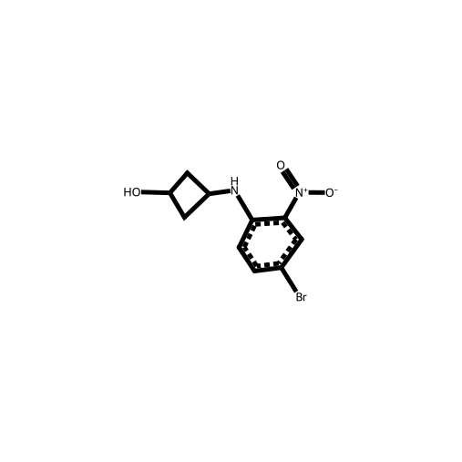 O=[N+]([O-])c1cc(Br)ccc1NC1CC(O)C1